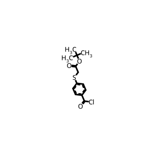 CC(C)(C)OC(=O)CSc1ccc(C(=O)Cl)cc1